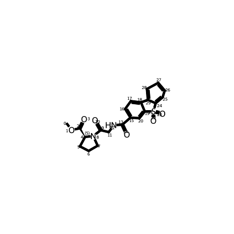 COC(=O)[C@@H]1CCCN1C(=O)CNC(=O)c1ccc2c(c1)S(=O)(=O)c1ccccc1-2